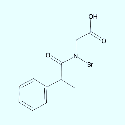 CC(C(=O)N(Br)CC(=O)O)c1ccccc1